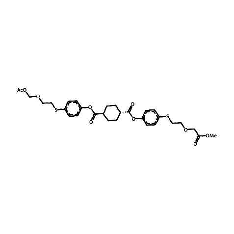 COC(=O)COCCSc1ccc(OC(=O)[C@H]2CC[C@H](C(=O)Oc3ccc(SCCOCOC(C)=O)cc3)CC2)cc1